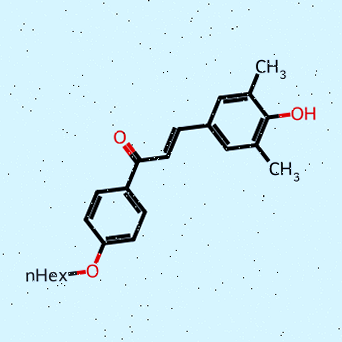 CCCCCCOc1ccc(C(=O)/C=C/c2cc(C)c(O)c(C)c2)cc1